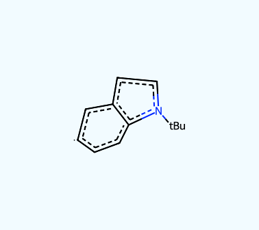 CC(C)(C)n1ccc2c[c]ccc21